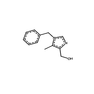 Cc1c(CO)ncn1Cc1ccccc1